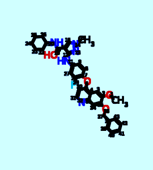 COc1cc2c(Oc3ccc(Nc4nn(C)cc4C(O)NC4CCCCC4)cc3F)ccnc2cc1OCc1ccccc1